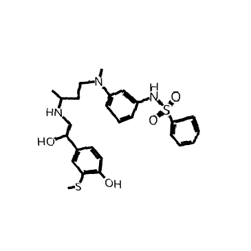 CSc1cc(C(O)CNC(C)CCN(C)c2cccc(NS(=O)(=O)c3ccccc3)c2)ccc1O